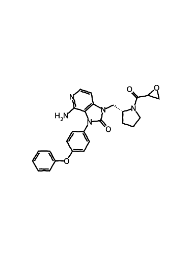 Nc1nccc2c1n(-c1ccc(Oc3ccccc3)cc1)c(=O)n2C[C@H]1CCCN1C(=O)C1CO1